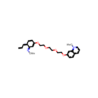 C=C/C=C1/C=CC(OCCOCCOCCOc2ccc3ccc[n+](OC)c3c2)=C/C1=N\OC